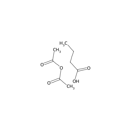 CC(=O)OC(C)=O.CCCC(=O)O